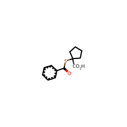 O=C(SC1(C(=O)O)CCCC1)c1ccccc1